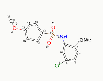 COc1ccc(Cl)cc1NS(=O)(=O)c1ccc(OC(F)(F)F)cc1